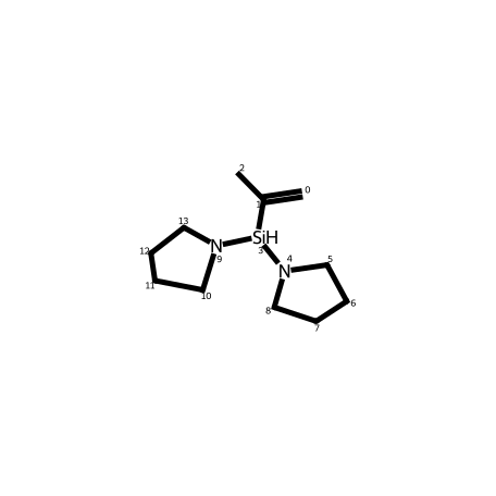 C=C(C)[SiH](N1CCCC1)N1CCCC1